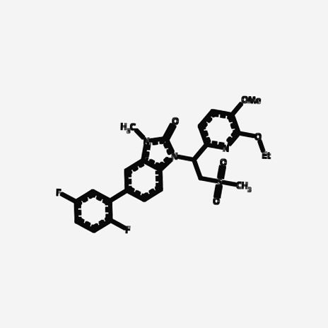 CCOc1nc(C(CS(C)(=O)=O)n2c(=O)n(C)c3cc(-c4cc(F)ccc4F)ccc32)ccc1OC